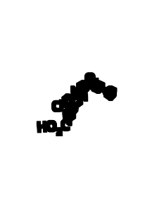 O=C(O)Cc1cccc(CCCc2nc3cc(C(=O)N4CCC(c5ccccc5)CC4)ccc3nc2-c2ccc(Cl)cc2)c1